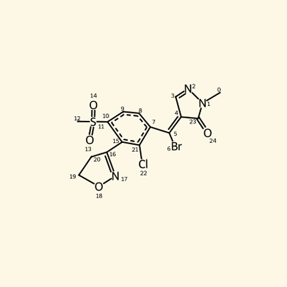 CN1N=C/C(=C(/Br)c2ccc(S(C)(=O)=O)c(C3=NOCC3)c2Cl)C1=O